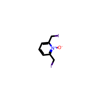 [O-][n+]1c(CI)cccc1CI